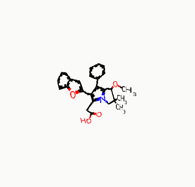 COC1c2c(-c3ccccc3)c(-c3cc4ccccc4o3)c(CC(=O)O)n2CC1(C)C